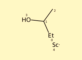 CCC(C)O.[Sc]